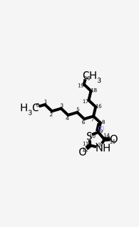 CCCCCCCC(/C=C1\SC(=O)NC1=O)CCCCC